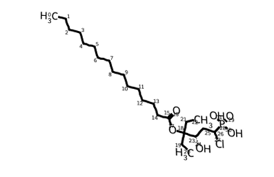 CCCCCCCCCCCCCCCC(=O)OC(CC)(CC)[C@@H](O)CC(Cl)P(=O)(O)O